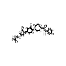 CC(=O)NC[C@H]1CN(c2ccc(N3CCON(C(=O)Nc4nccs4)CC3)c(F)c2)C(=O)O1